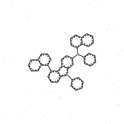 c1ccc(N(c2ccc3c4c(-c5cccc6ccccc56)cccc4n(-c4ccccc4)c3c2)c2cccc3ccccc23)cc1